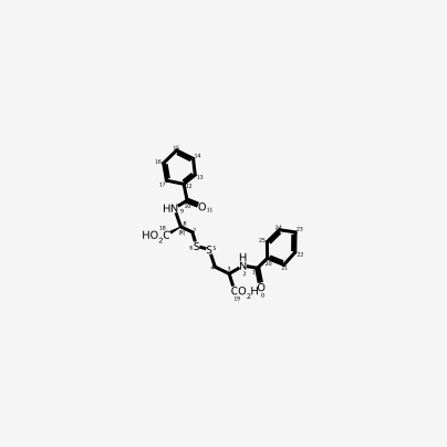 O=C(NC(CSSC[C@H](NC(=O)c1ccccc1)C(=O)O)C(=O)O)c1ccccc1